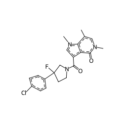 Cc1cn(C)c(=O)c2c(C(=O)N3CCC(F)(c4ccc(Cl)cc4)C3)cn(C)c12